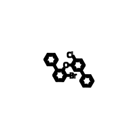 Clc1ccc(-c2ccccc2)cc1Oc1c(Br)cccc1-c1ccccc1